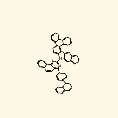 c1ccc2cc3c(cc2c1)c1c2c4ccccc4c4ccccc4c2ccc1n3-c1nc(-c2ccc(-c3cccc4ccccc34)cc2)c2ccc3ccccc3c2n1